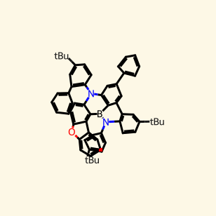 CC(C)(C)c1ccc(N2B3c4c(cc(-c5ccccc5)cc4N(c4ccc(C(C)(C)C)cc4-c4ccccc4)c4ccc5oc6ccccc6c5c43)-c3cc(C(C)(C)C)ccc32)cc1